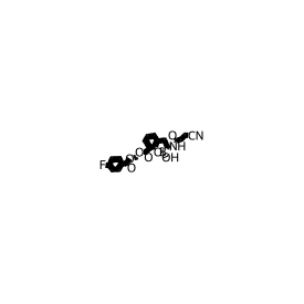 N#CCCC(=O)N[C@H]1Cc2cccc(C(=O)OCOC(=O)c3ccc(F)cc3)c2OB1O